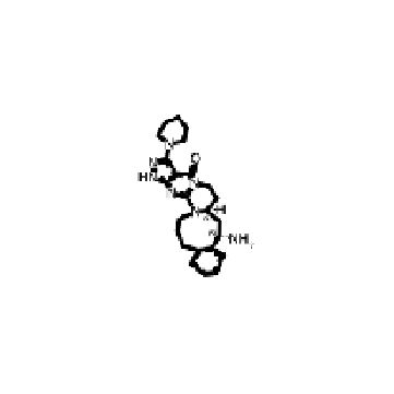 N[C@H]1C[C@@H]2CCn3c(nc4[nH]nc(N5CCCCC5)c4c3=O)N2CCCc2ccccc21